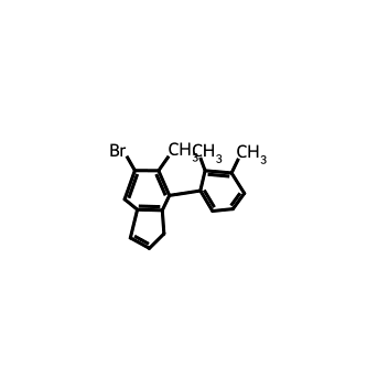 Cc1cccc(-c2c(C)c(Br)cc3c2CC=C3)c1C